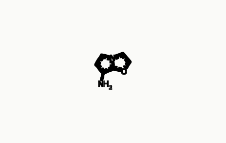 Nc1ccn2ccoc12